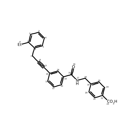 CCc1ccccc1CC#Cc1cccc(C(=O)NCc2ccc(C(=O)O)cc2)c1